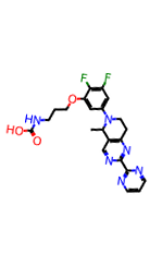 CC1c2cnc(-c3ncccn3)nc2CCN1c1cc(F)c(F)c(OCCCNC(=O)O)c1